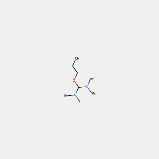 CC(C)N(C)C(OCCC#N)N(C(C)C)C(C)C